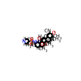 CC1(C)C(=O)C(C#N)=C[C@]2(C)C3=CC(=O)[C@]4(O)[C@@H]5C[C@@](C)(NS(=O)(=O)c6ccncc6)CC[C@@]5(C)CC[C@@]4(C)[C@]3(C)CC[C@@H]12